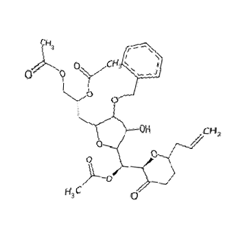 C=CCC1CCC(=O)[C@@H]([C@@H](OC(C)=O)C2OC(C[C@H](COC(C)=O)OC(C)=O)C(OCc3ccccc3)C2O)O1